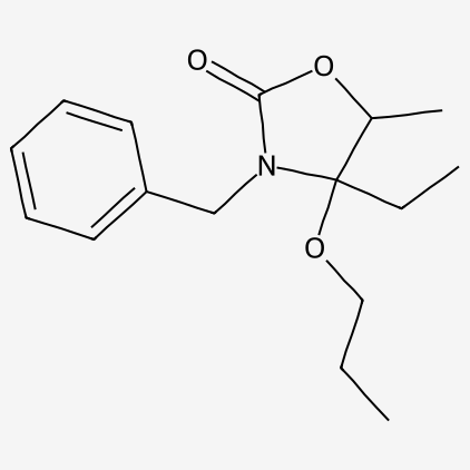 CCCOC1(CC)C(C)OC(=O)N1Cc1ccccc1